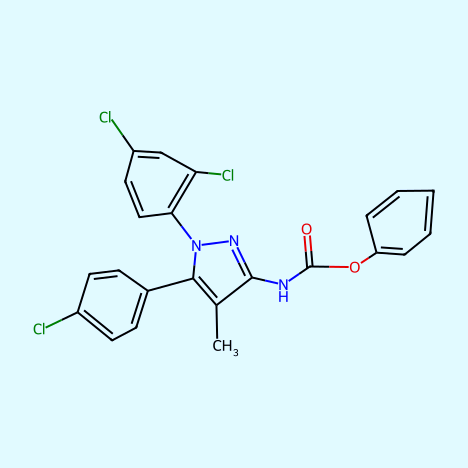 Cc1c(NC(=O)Oc2ccccc2)nn(-c2ccc(Cl)cc2Cl)c1-c1ccc(Cl)cc1